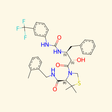 Cc1ccccc1CNC(=O)[C@H]1N(C(=O)[C@@H](O)[C@H](Cc2ccccc2)NC(=O)Nc2cccc(C(F)(F)F)c2)CSC1(C)C